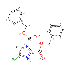 O=C(OCc1ccccc1)c1nc(Br)cn1C(=O)OCc1ccccc1